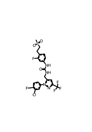 CS(=O)(=O)CCc1ccc(NC(=O)NCc2cc(C(F)(F)F)nn2-c2ccc(F)c(Cl)c2)cc1F